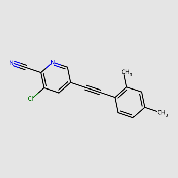 Cc1ccc(C#Cc2cnc(C#N)c(Cl)c2)c(C)c1